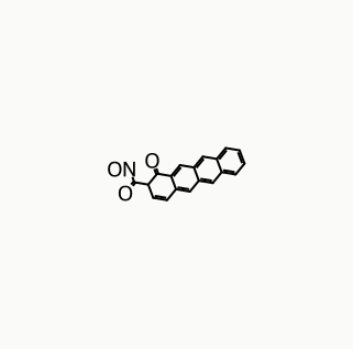 O=NC(=O)C1C=Cc2cc3cc4ccccc4cc3cc2C1=O